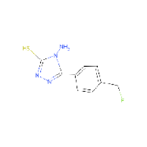 Nn1c(S)nnc1-c1ccc(CF)cc1